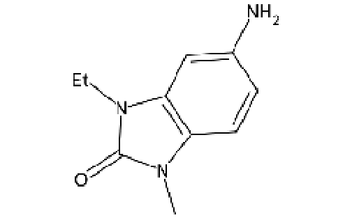 CCn1c(=O)n(C)c2ccc(N)cc21